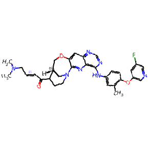 Cc1cc(Nc2ncnc3cc4c(nc23)N2CCC(C(=O)/C=C/CN(C)C)[C@H](CO4)C2)ccc1Oc1cncc(F)c1